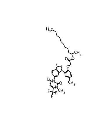 CCCCCCCCCC(C)OC(=O)COc1ccc(C)cc1-c1nsc2ccc(-n3c(=O)cc(C(F)(F)F)n(C)c3=O)cc12